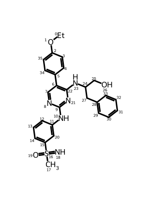 CCOc1ccc(-c2cnc(Nc3cccc(S(C)(=N)=O)c3)nc2NC(CO)Cc2ccccc2)cc1